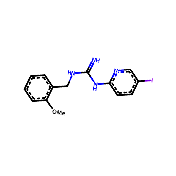 COc1ccccc1CNC(=N)Nc1ccc(I)cn1